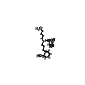 CCCCCCCCCc1ccccc1O.N#CO.N#CO